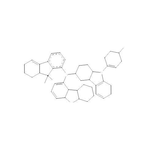 CC1(C)c2c(cccc2N(C2=CC=CC3OC4CCCCC4C23)C2CCC3C(C2)C2=C(CCC=C2)N3C2=CCC(F)CC2)C2=CCCCC21